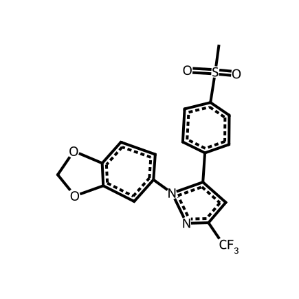 CS(=O)(=O)c1ccc(-c2cc(C(F)(F)F)nn2-c2ccc3c(c2)OCO3)cc1